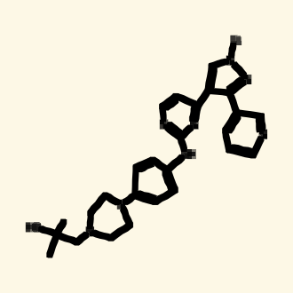 CCn1cc(-c2ccnc(Nc3ccc(N4CCN(CC(C)(C)O)CC4)cc3)n2)c(-c2cccnc2)n1